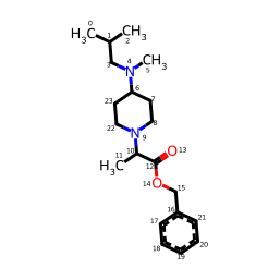 CC(C)CN(C)C1CCN(C(C)C(=O)OCc2ccccc2)CC1